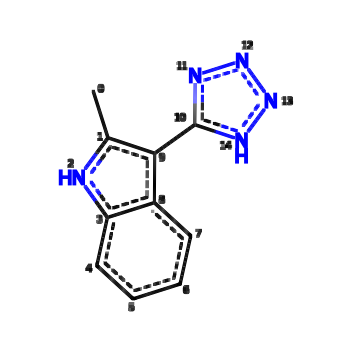 Cc1[nH]c2ccccc2c1-c1nnn[nH]1